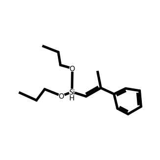 CCCO[SiH](C=C(C)c1ccccc1)OCCC